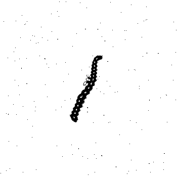 O=C1OC(=O)c2c3cc4cc5cc6cc7cc8cc9cc%10ccccc%10cc9cc8cc7cc6cc5cc4cc3cc3cc4cc5cc6cc7cc8cc9ccccc9cc8cc7cc6cc5cc4c1c23